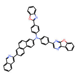 c1ccc2cc(-c3ccc4c(ccc5cc(N(c6ccc(-c7cnc8c(n7)oc7ccccc78)cc6)c6ccc(-c7nc8ccccc8o7)cc6)ccc54)c3)ncc2c1